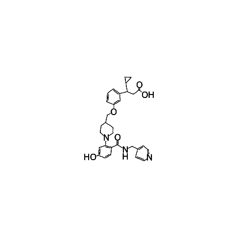 O=C(O)CC(c1cccc(OCC2CCN(c3cc(O)ccc3C(=O)NCc3ccncc3)CC2)c1)C1CC1